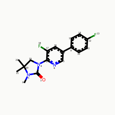 CN1C(=O)N(c2ncc(-c3ccc(F)cc3)cc2F)CC1(C)C